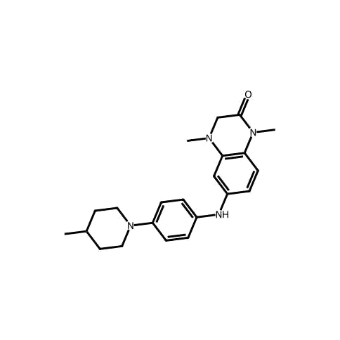 CC1CCN(c2ccc(Nc3ccc4c(c3)N(C)CC(=O)N4C)cc2)CC1